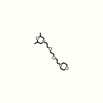 CC1CN(CCOCCOCCN2CCOCC2)CC(C)O1